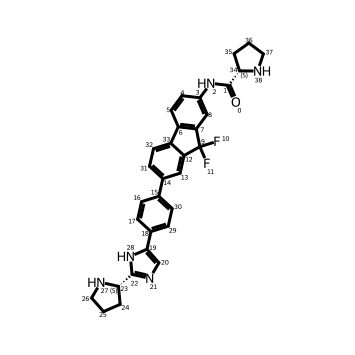 O=C(Nc1ccc2c(c1)C(F)(F)c1cc(-c3ccc(-c4cnc([C@@H]5CCCN5)[nH]4)cc3)ccc1-2)[C@@H]1CCCN1